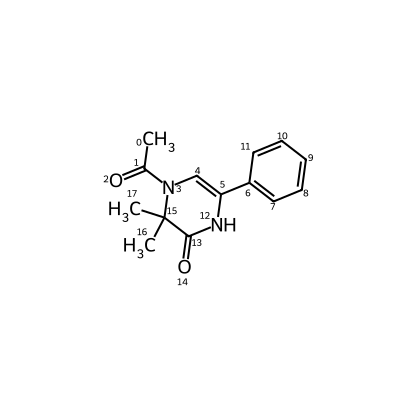 CC(=O)N1C=C(c2ccccc2)NC(=O)C1(C)C